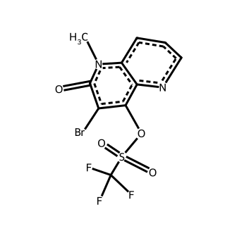 Cn1c(=O)c(Br)c(OS(=O)(=O)C(F)(F)F)c2ncccc21